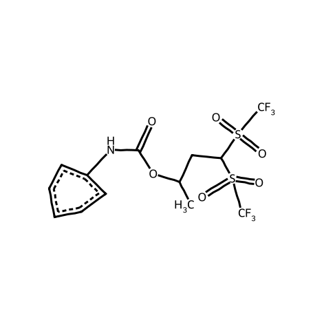 CC(CC(S(=O)(=O)C(F)(F)F)S(=O)(=O)C(F)(F)F)OC(=O)Nc1ccccc1